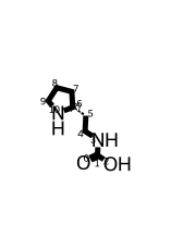 O=C(O)NCC[C@H]1CCCN1